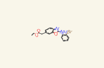 CCOC(=O)Cc1ccc2nc(Nc3ccccc3Br)oc2c1